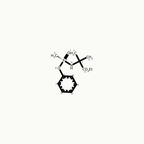 CCOC(=O)C(C)(C)N[P@](C)(=O)Oc1ccccc1